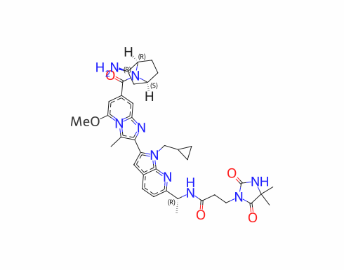 COc1cc(C(=O)N2[C@H]3CC[C@@H]2[C@H](N)C3)cc2nc(-c3cc4ccc([C@@H](C)NC(=O)CCN5C(=O)NC(C)(C)C5=O)nc4n3CC3CC3)c(C)n12